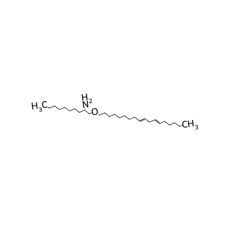 CCCCCC=CCC=CCCCCCCCCOC[C@@H](N)CCCCCCCC